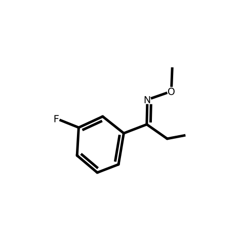 CCC(=NOC)c1cccc(F)c1